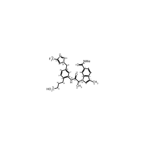 CNC(=O)c1ccc2c(C)cn(C(C)C(=O)Nc3cc(Cn4cc(C(F)(F)F)nn4)ccc3CCCC(=O)O)c2c1